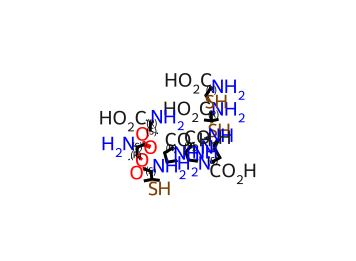 CC(C)(S)[C@H](N)C(=O)O.C[C@H](OC(=O)[C@@H](N)[C@@H](C)OC(=O)[C@H](N)C(C)(C)S)[C@@H](N)C(=O)O.N[C@@H](CS)C(=O)O.N[C@@H](Cc1c[nH]cn1)C(=O)O.O=C(O)[C@@H]1CCCN1.O=C(O)[C@H]1CCCN1